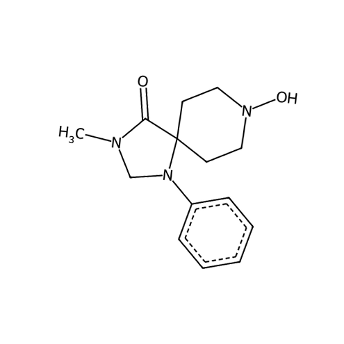 CN1CN(c2ccccc2)C2(CCN(O)CC2)C1=O